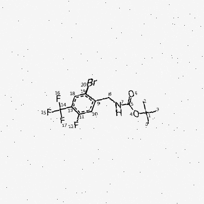 CC(C)(C)OC(=O)NCc1cc(F)c(C(F)(F)F)cc1Br